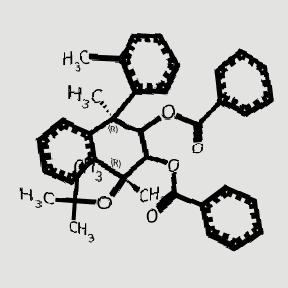 Cc1ccccc1[C@]1(C)c2ccccc2[C@@](C)(OC(C)(C)C)C(OC(=O)c2ccccc2)C1OC(=O)c1ccccc1